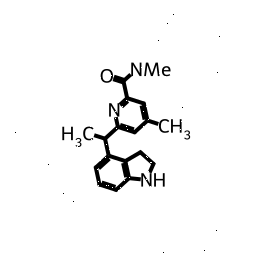 CNC(=O)c1cc(C)cc(C(C)c2cccc3c2CCN3)n1